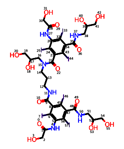 O=C(CO)Nc1c(I)c(C(=O)NCCCN(CC(O)CO)C(=O)c2c(I)c(NC(=O)CO)c(I)c(C(=O)NCC(O)CO)c2I)c(I)c(C(=O)NCC(O)CO)c1I